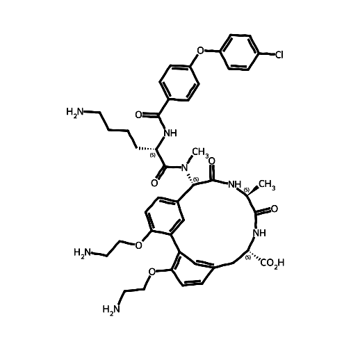 C[C@@H]1NC(=O)[C@@H](N(C)C(=O)[C@H](CCCCN)NC(=O)c2ccc(Oc3ccc(Cl)cc3)cc2)c2ccc(OCCN)c(c2)-c2cc(ccc2OCCN)C[C@@H](C(=O)O)NC1=O